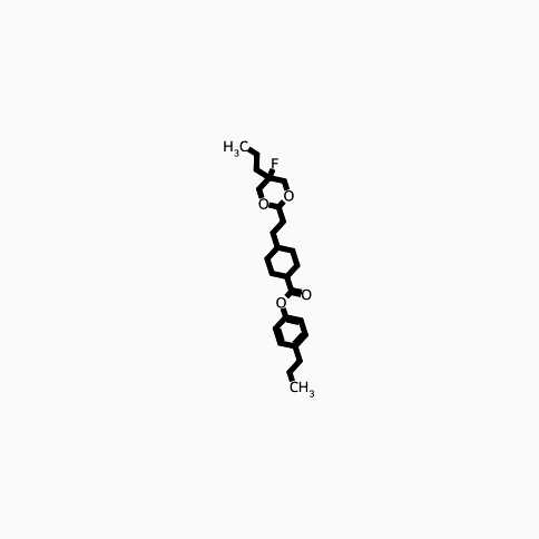 CCCc1ccc(OC(=O)C2CCC(CCC3OCC(F)(CCC)CO3)CC2)cc1